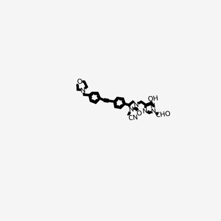 C/C(O)=C(CN1CC(c2ccc(C#Cc3ccc(CN4CCOCC4)cc3)cc2)N(CC#N)C1=O)\N=C/NC=O